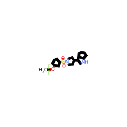 CC(F)(F)Oc1cccc(S(=O)(=O)N2CCC(c3c[nH]c4ccccc34)CC2)c1